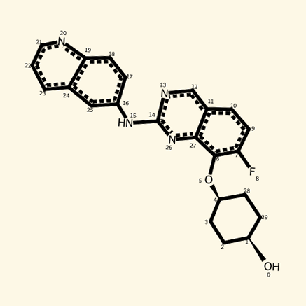 O[C@H]1CC[C@@H](Oc2c(F)ccc3cnc(Nc4ccc5ncccc5c4)nc23)CC1